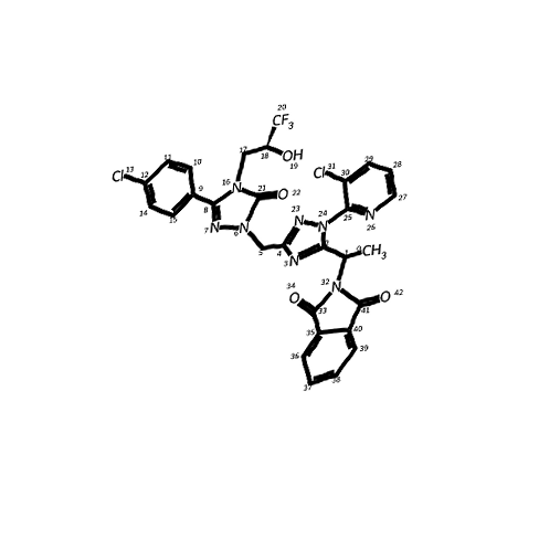 CC(c1nc(Cn2nc(-c3ccc(Cl)cc3)n(C[C@H](O)C(F)(F)F)c2=O)nn1-c1ncccc1Cl)N1C(=O)c2ccccc2C1=O